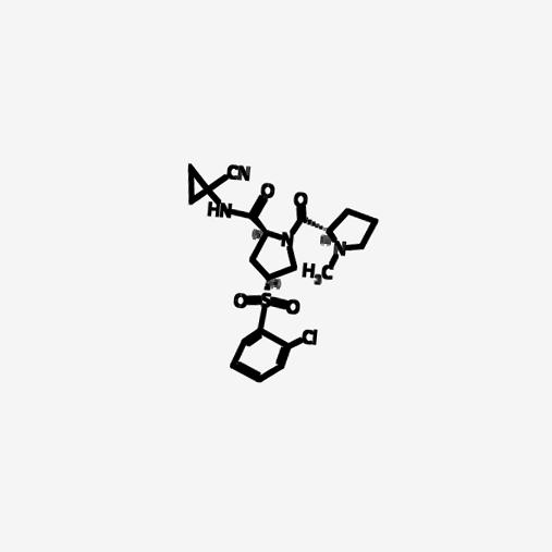 CN1CCC[C@H]1C(=O)N1C[C@H](S(=O)(=O)c2ccccc2Cl)C[C@H]1C(=O)NC1(C#N)CC1